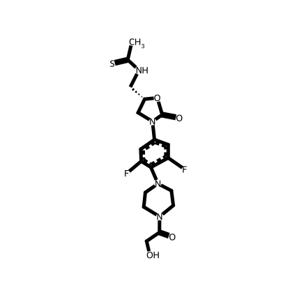 CC(=S)NC[C@H]1CN(c2cc(F)c(N3CCN(C(=O)CO)CC3)c(F)c2)C(=O)O1